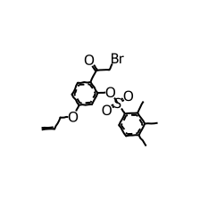 C=CCOc1ccc(C(=O)CBr)c(OS(=O)(=O)c2ccc(C)c(C)c2C)c1